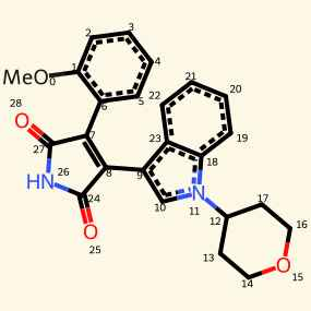 COc1ccccc1C1=C(c2cn(C3CCOCC3)c3ccccc23)C(=O)NC1=O